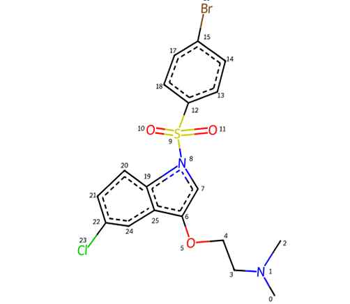 CN(C)CCOc1cn(S(=O)(=O)c2ccc(Br)cc2)c2ccc(Cl)cc12